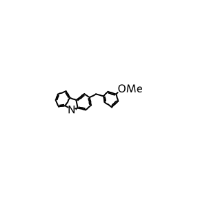 COc1cccc(Cc2ccc3c(c2)-c2ccccc2[N]3)c1